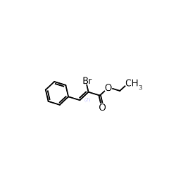 CCOC(=O)/C(Br)=C/c1ccccc1